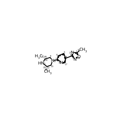 Cc1nc(-c2ccc(N3C[C@@H](C)N[C@@H](C)C3)nc2)no1